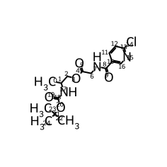 CC(COC(=O)CNC(=O)c1ccc(Cl)nc1)NC(=O)OC(C)(C)C